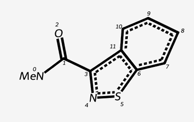 CNC(=O)c1nsc2ccccc12